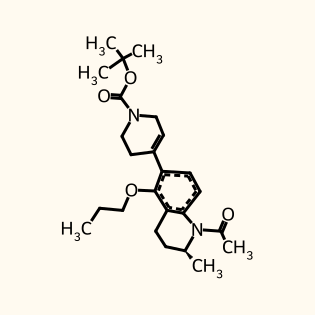 CCCOc1c(C2=CCN(C(=O)OC(C)(C)C)CC2)ccc2c1CC[C@H](C)N2C(C)=O